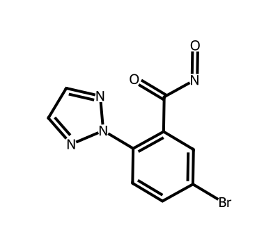 O=NC(=O)c1cc(Br)ccc1-n1nccn1